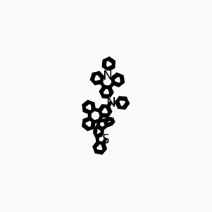 c1ccc(N(c2ccc3c(c2)-c2ccccc2N(c2ccccc2)c2ccccc2-3)c2ccc3c(c2)-c2ccccc2-c2ccccc2C32c3ccccc3-c3c2ccc2c3sc3ccccc32)cc1